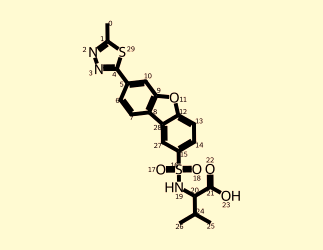 Cc1nnc(-c2ccc3c(c2)oc2ccc(S(=O)(=O)NC(C(=O)O)C(C)C)cc23)s1